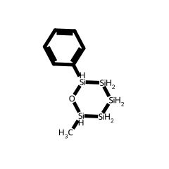 C[SiH]1O[SiH](c2ccccc2)[SiH2][SiH2][SiH2]1